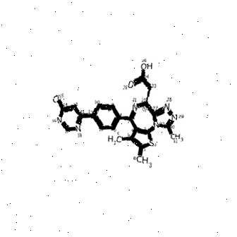 Cc1sc2c(c1C)C(c1ccc(-c3cc(Cl)ncn3)cc1)=N[C@@H](CC(=O)O)c1nnc(C)n1-2